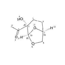 CC(=O)[C@@]1(O)CC[C@H]2CO[C@@H]1O2